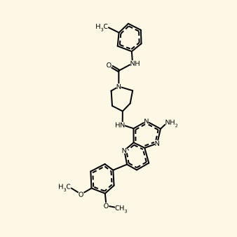 COc1ccc(-c2ccc3nc(N)nc(NC4CCN(C(=O)Nc5cccc(C)c5)CC4)c3n2)cc1OC